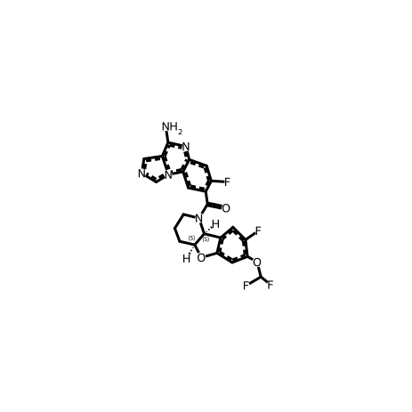 Nc1nc2cc(F)c(C(=O)N3CCC[C@@H]4Oc5cc(OC(F)F)c(F)cc5[C@@H]43)cc2n2cncc12